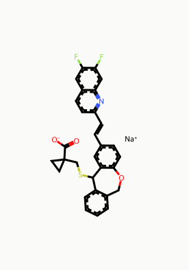 O=C([O-])C1(CSC2c3ccccc3COc3ccc(C=Cc4ccc5cc(F)c(F)cc5n4)cc32)CC1.[Na+]